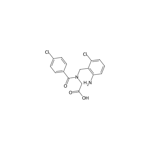 Nc1cccc(Cl)c1CN(CC(=O)O)C(=O)c1ccc(Cl)cc1